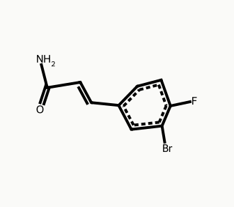 NC(=O)C=Cc1ccc(F)c(Br)c1